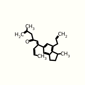 C=CCc1cc(C(/C=C\C)=C/C(=O)CC(=C)C)cc2c1C(C)CC2